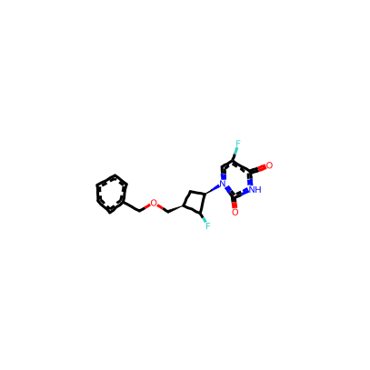 O=c1[nH]c(=O)n([C@@H]2C[C@H](COCc3ccccc3)C2F)cc1F